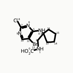 O=C(O)NCC1(Nc2nc(Cl)ncc2Br)CCCC1